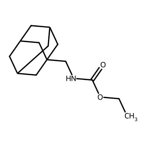 CCOC(=O)NCC12CC3CC(CC(C3)C1)C2